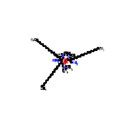 CCCCCCCCCCCCCCCCCCC(CN)C(C[N+](CC)(CC)CC)OP(=O)(OC(C[N+](CC)(CC)CC)C(CN)CCCCCCCCCCCCCCCCCC)OC(C[N+](CC)(CC)CC)C(CN)CCCCCCCCCCCCCCCCCC